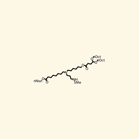 CCCCCCCCCOC(=O)CCCCCCCN(CCCCCCOC(=O)CCC(OCCCCCCCC)OCCCCCCCC)CCCNSC